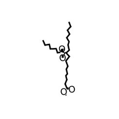 CCCCCCCCC(CCCCCCCCC(=O)OC)S(=O)(=O)CCCCCC